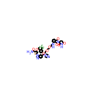 CC(Oc1cc(-n2cnc3ccc(CN4CCN(C)CC4)cc32)sc1C(N)=O)c1ccc(OCCOCCOCCNc2cccc3c2C(=O)N(C2CCC(=O)NC2=O)C3=O)cc1C(F)(F)F